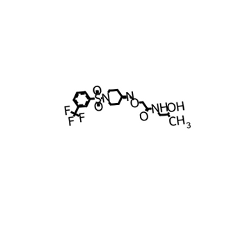 CC(O)CNC(=O)CON=C1CCN(S(=O)(=O)c2cccc(C(F)(F)F)c2)CC1